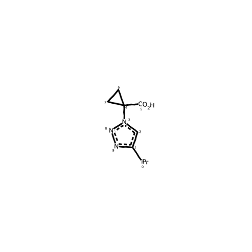 CC(C)c1cn(C2(C(=O)O)CC2)nn1